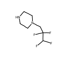 FC(F)C(F)(F)CN1CCNCC1